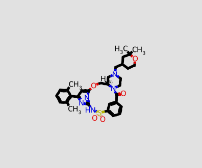 Cc1cccc(C)c1-c1cc2nc(n1)NS(=O)(=O)c1cccc(c1)C(=O)N1CCN(CC3CCOC(C)(C)C3)C[C@@H]1CO2